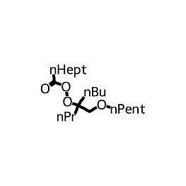 CCCCCCCC(=O)OOC(CCC)(CCCC)COCCCCC